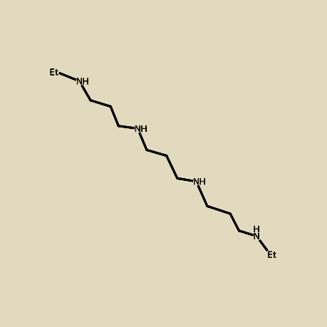 CCNCCCNCCCNCCCNCC